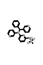 CS(=O)(=O)Nc1cccc(N(c2cccnc2)C(c2ccccc2)c2cccnc2)n1